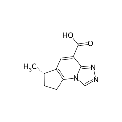 C[C@H]1CCc2c1cc(C(=O)O)c1nncn21